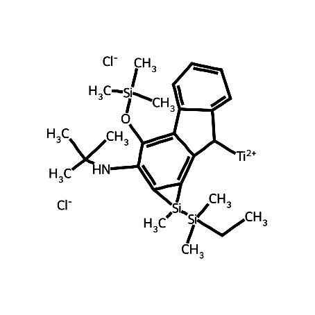 CC[Si](C)(C)[Si]1(C)c2c(NC(C)(C)C)c(O[Si](C)(C)C)c3c(c21)[CH]([Ti+2])c1ccccc1-3.[Cl-].[Cl-]